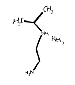 CC(C)NCCN.N